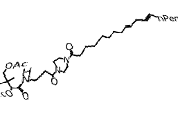 CCCCCC=CCC=CCCCCCCCC(=O)N1CCN(C(=O)CCNC(=O)C(OC(C)=O)C(C)(C)COC(C)=O)CC1